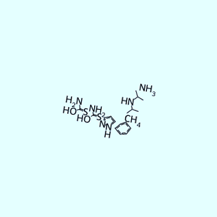 C.CC(C)NC(C)C.N.NC(O)=S.NC(O)=S.c1ccccc1.c1cn[nH]c1